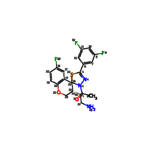 CC(=O)N1N=C(c2cc(F)cc(F)c2)S[C@@]12c1cc(F)ccc1OC[C@H]2CCN